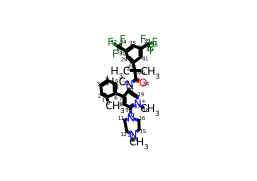 Cc1ccccc1-c1cc(N2CCN(C)CC2)[n+](C)cc1N(C)C(=O)C(C)(C)c1cc(C(F)(F)F)cc(C(F)(F)F)c1